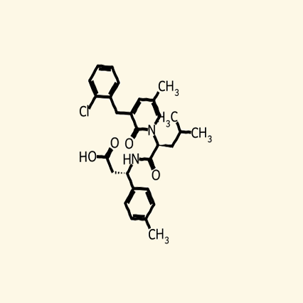 Cc1ccc([C@H](CC(=O)O)NC(=O)[C@H](CC(C)C)n2cc(C)cc(Cc3ccccc3Cl)c2=O)cc1